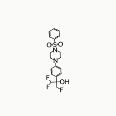 O=S(=O)(c1ccccc1)N1CCN(c2ccc(C(O)(CF)C(F)F)cc2)CC1